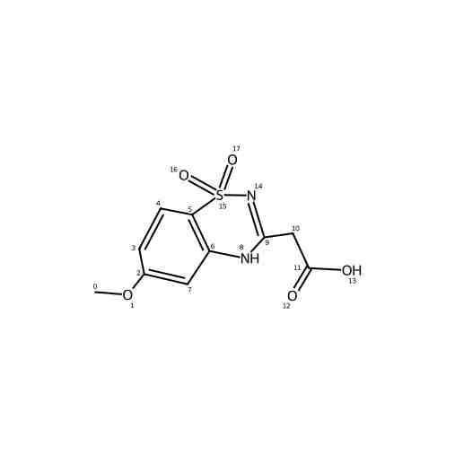 COc1ccc2c(c1)NC(CC(=O)O)=NS2(=O)=O